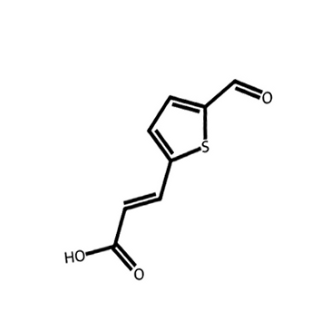 O=Cc1ccc(/C=C/C(=O)O)s1